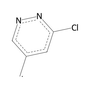 [CH2]c1cnnc(Cl)c1